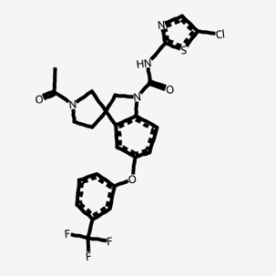 CC(=O)N1CCC2(C1)CN(C(=O)Nc1ncc(Cl)s1)c1ccc(Oc3cccc(C(F)(F)F)c3)cc12